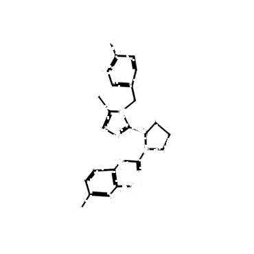 Cc1cnc([C@H]2CCCN2C(=O)Nc2ccc(Cl)cc2F)n1Cc1ccc(Cl)cc1